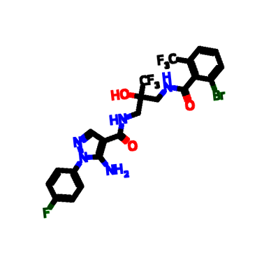 Nc1c(C(=O)NCC(O)(CNC(=O)c2c(Br)cccc2C(F)(F)F)C(F)(F)F)cnn1-c1ccc(F)cc1